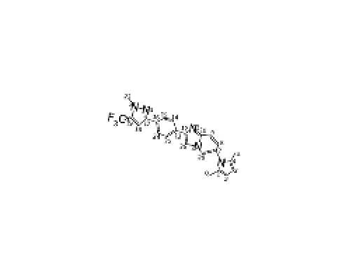 Cc1ccc(C)n1-c1ccc2nc(-c3ccc(-c4cc(C(F)(F)F)n(C)n4)cc3)cn2c1